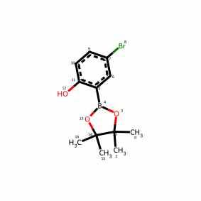 CC1(C)OB(c2cc(Br)ccc2O)OC1(C)C